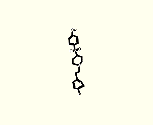 O=S(=O)(c1ccc(O)cc1)C1CCN(CCc2ccc(F)cc2)CC1